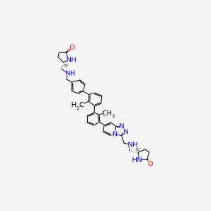 Cc1c(-c2ccc(CNC[C@@H]3CCC(=O)N3)cc2)cccc1-c1cccc(-c2ccn3c(CNC[C@@H]4CCC(=O)N4)nnc3c2)c1C